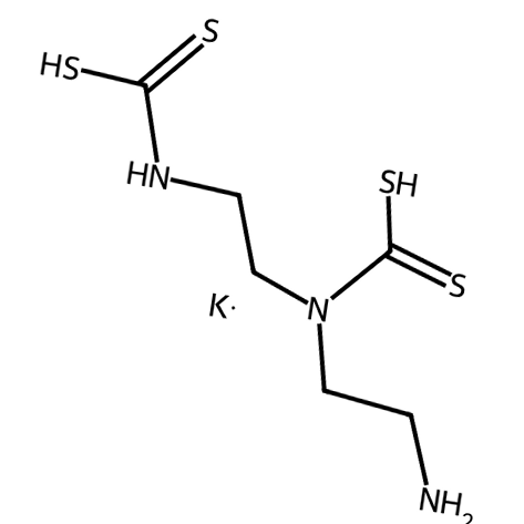 NCCN(CCNC(=S)S)C(=S)S.[K]